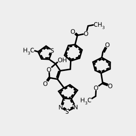 CCOC(=O)c1ccc(C=O)cc1.CCOC(=O)c1ccc(CC2=C(c3ccc4nsnc4c3)C(=O)OC2(O)c2cc(C)cs2)cc1